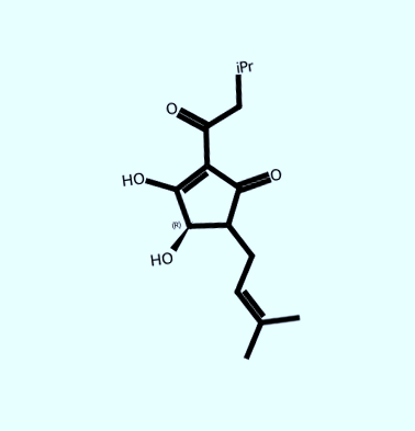 CC(C)=CCC1C(=O)C(C(=O)CC(C)C)=C(O)[C@@H]1O